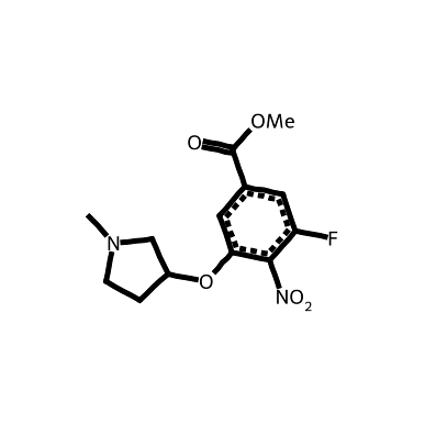 COC(=O)c1cc(F)c([N+](=O)[O-])c(OC2CCN(C)C2)c1